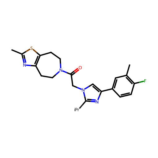 Cc1nc2c(s1)CCN(C(=O)Cn1cc(-c3ccc(F)c(C)c3)nc1C(C)C)CC2